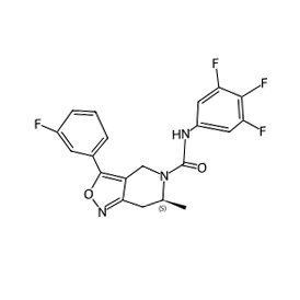 C[C@H]1Cc2noc(-c3cccc(F)c3)c2CN1C(=O)Nc1cc(F)c(F)c(F)c1